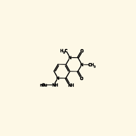 CCCCNn1ccc2c(c1=N)c(=O)n(C)c(=O)n2C